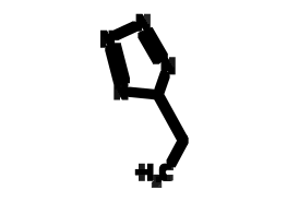 [CH2]CC1N=NN=N1